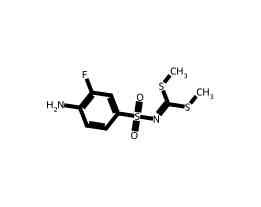 CSC(=NS(=O)(=O)c1ccc(N)c(F)c1)SC